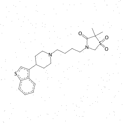 CC1(C)C(=O)N(CCCCN2CCC(c3csc4ccccc34)CC2)CS1(=O)=O